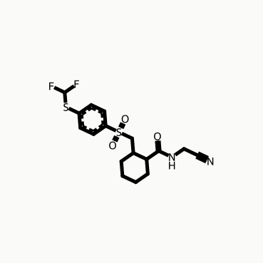 N#CCNC(=O)C1CCCCC1CS(=O)(=O)c1ccc(SC(F)F)cc1